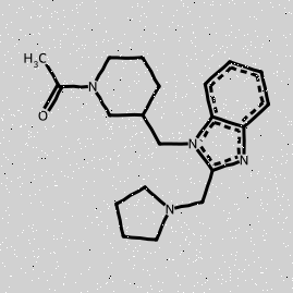 CC(=O)N1CCCC(Cn2c(CN3CCCC3)nc3ccccc32)C1